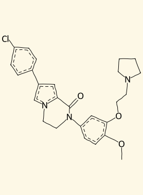 COc1ccc(N2CCn3cc(-c4ccc(Cl)cc4)cc3C2=O)cc1OCCN1CCCC1